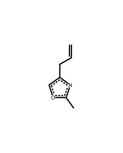 C=C[CH]c1coc(C)n1